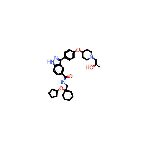 C[C@@H](O)CN1CCC(Oc2ccc(-c3n[nH]c4ccc(C(=O)NCC5(OC6CCCC6)CCCCC5)cc34)cc2)CC1